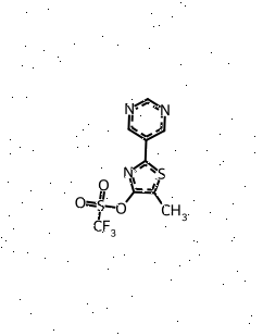 Cc1sc(-c2cncnc2)nc1OS(=O)(=O)C(F)(F)F